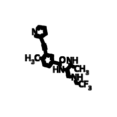 CC(=N)/C(=C\NCC(F)(F)F)NC(=O)c1ccc(C)c(C#Cc2cccnc2)c1